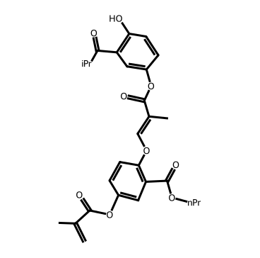 C=C(C)C(=O)Oc1ccc(O/C=C(\C)C(=O)Oc2ccc(O)c(C(=O)C(C)C)c2)c(C(=O)OCCC)c1